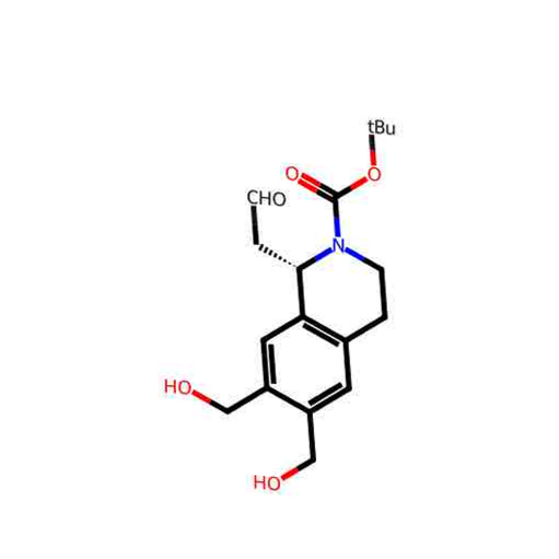 CC(C)(C)OC(=O)N1CCc2cc(CO)c(CO)cc2[C@@H]1CC=O